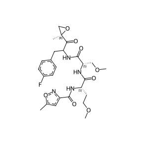 COCC[C@H](NC(=O)c1cc(C)on1)C(=O)N[C@@H](COC)C(=O)NC(Cc1ccc(F)cc1)C(=O)[C@@]1(C)CO1